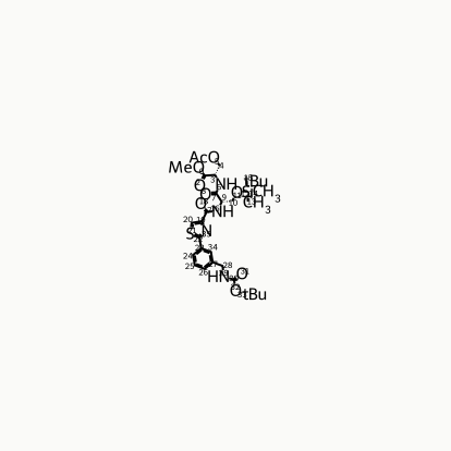 COC(=O)[C@H](COC(C)=O)NC(=O)[C@H](CO[Si](C)(C)C(C)(C)C)NC(=O)c1csc(-c2cccc(CNC(=O)OC(C)(C)C)c2)n1